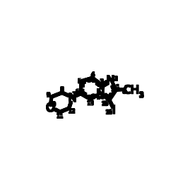 Cc1nc2ccc(N3CCOCC3)cn2c1I